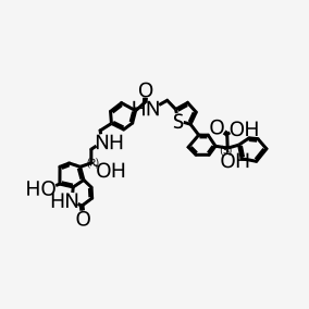 O=C(NCc1ccc(-c2cccc([C@](O)(C(=O)O)c3ccccc3)c2)s1)c1ccc(CNC[C@H](O)c2ccc(O)c3[nH]c(=O)ccc23)cc1